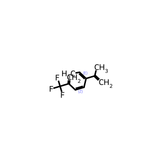 C=C(C)C(/C=C\C(=C)C(F)(F)F)=C/C